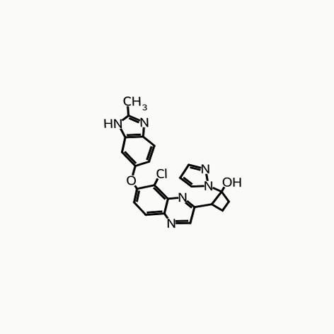 Cc1nc2ccc(Oc3ccc4ncc(C5CCC5(O)n5cccn5)nc4c3Cl)cc2[nH]1